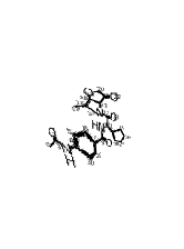 CC(=O)Nc1ccc(C(=O)N[C@H](C(=O)N2CC(C)C3OCC(=O)C32)C2CCCC2)cc1